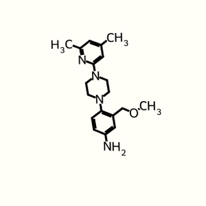 COCc1cc(N)ccc1N1CCN(c2cc(C)cc(C)n2)CC1